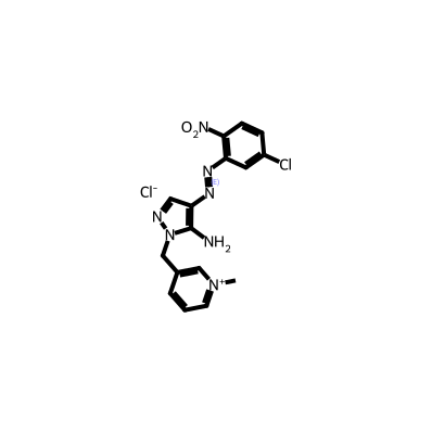 C[n+]1cccc(Cn2ncc(/N=N/c3cc(Cl)ccc3[N+](=O)[O-])c2N)c1.[Cl-]